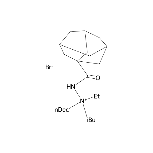 CCCCCCCCCC[N+](CC)(NC(=O)C12CC3CC(CC(C3)C1)C2)C(C)CC.[Br-]